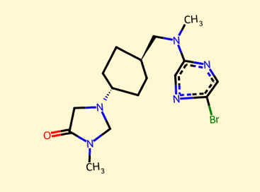 CN1CN([C@H]2CC[C@H](CN(C)c3cnc(Br)cn3)CC2)CC1=O